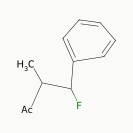 CC(=O)C(C)C(F)c1ccccc1